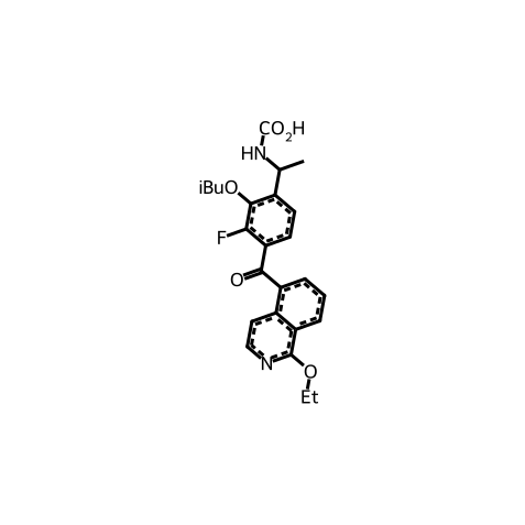 CCOc1nccc2c(C(=O)c3ccc(C(C)NC(=O)O)c(OCC(C)C)c3F)cccc12